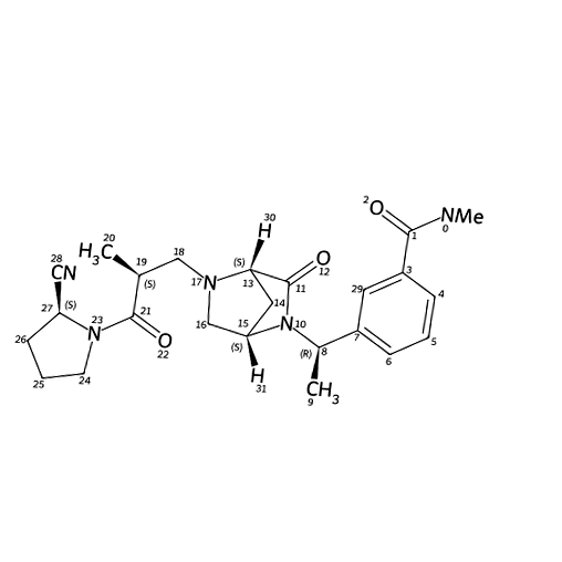 CNC(=O)c1cccc([C@@H](C)N2C(=O)[C@@H]3C[C@H]2CN3C[C@H](C)C(=O)N2CCC[C@H]2C#N)c1